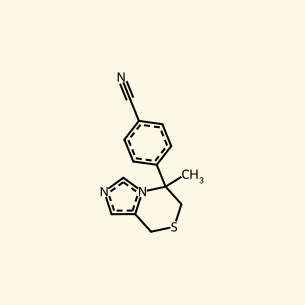 CC1(c2ccc(C#N)cc2)CSCc2cncn21